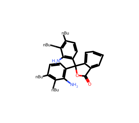 CCCCc1ccc(C2(c3ccc(CCCC)c(CCCC)c3N)OC(=O)c3ccccc32)c(N)c1CCCC